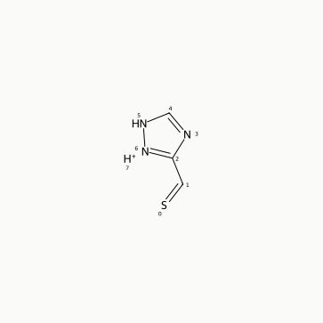 S=Cc1nc[nH]n1.[H+]